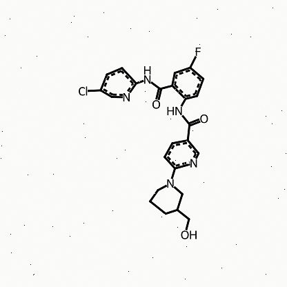 O=C(Nc1ccc(F)cc1C(=O)Nc1ccc(Cl)cn1)c1ccc(N2CCCC(CO)C2)nc1